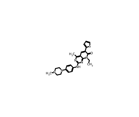 CCn1c(=O)c(-c2cccs2)cc2c(C)nc(Nc3ccc(N4CCN(C)CC4)cc3)nc21